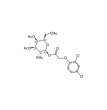 CC(=O)OC[C@H]1O[C@@H](OC(=O)COc2ccc(Cl)cc2Cl)[C@H](OC(C)=O)[C@@H](OC(C)=O)[C@H]1OC(C)=O